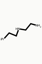 CC(C)C[CH]NCCN